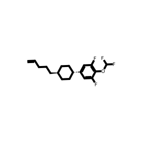 C=CCCC[C@H]1CC[C@H](c2cc(F)c(OC(F)F)c(F)c2)CC1